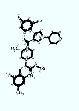 Cc1cc(C)c(C[C@@H](C(=O)OC(C)(C)C)N2CCN(C(=O)[C@@H]3CN(C4CCOCC4)C[C@H]3c3ccc(F)cc3F)[C@@H](C)C2)c(F)c1